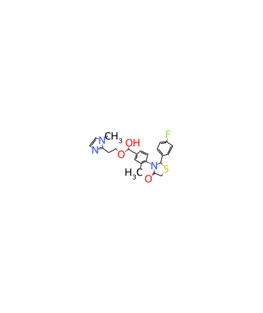 Cc1cc(C(O)OCCc2nccn2C)ccc1N1C(=O)CSC1c1ccc(F)cc1